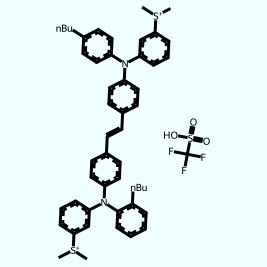 CCCCc1ccc(N(c2ccc(C=Cc3ccc(N(c4cccc([S+](C)C)c4)c4ccccc4CCCC)cc3)cc2)c2cccc([S+](C)C)c2)cc1.O=S(=O)(O)C(F)(F)F